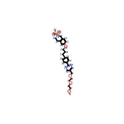 COCCOCCOCc1cnc(-c2ccc(CCCOc3ccc4c(c3)CCN(S(C)(=O)=O)C4)cc2)nc1